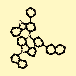 c1ccc(-c2ccc(N(c3ccc(-c4ccc5ccccc5c4)cc3)c3cccc4c3c3ccccc3n4-c3cccc4ccccc34)c3c2oc2ccccc23)cc1